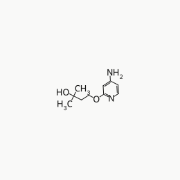 CC(C)(O)CCOc1cc(N)ccn1